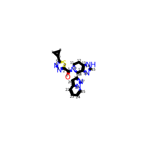 O=C(c1nnc(C2CC2)s1)N1CCc2[nH]cnc2[C@@H]1c1cc2ccccn2n1